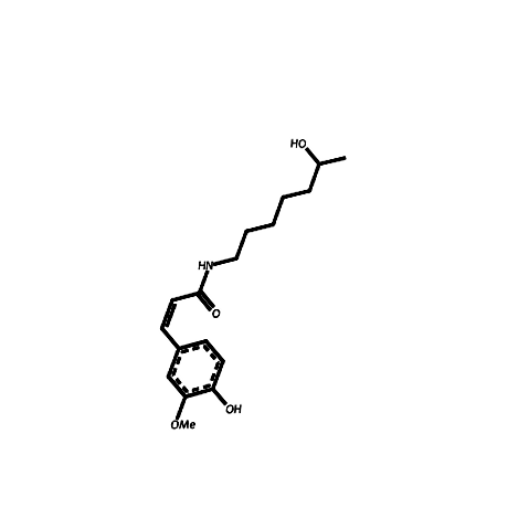 COc1cc(/C=C\C(=O)NCCCCCC(C)O)ccc1O